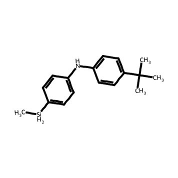 C[SiH2]c1ccc(Nc2ccc(C(C)(C)C)cc2)cc1